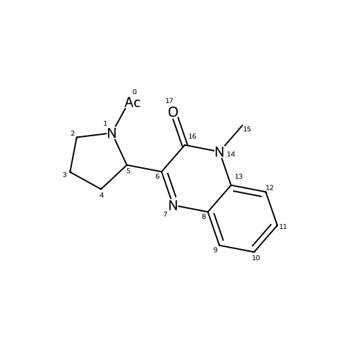 CC(=O)N1CCCC1c1nc2ccccc2n(C)c1=O